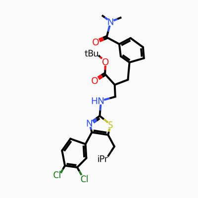 CC(C)Cc1sc(NCC(Cc2cccc(C(=O)N(C)C)c2)C(=O)OC(C)(C)C)nc1-c1ccc(Cl)c(Cl)c1